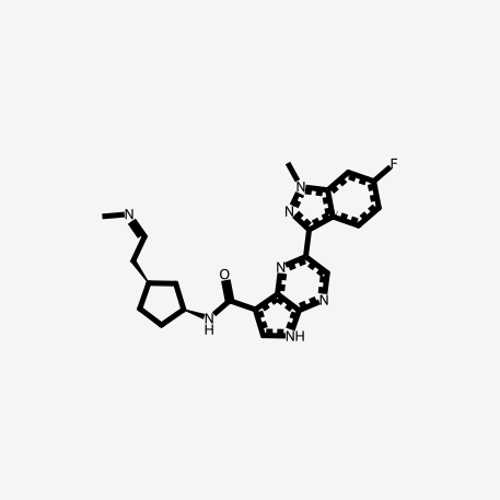 C/N=C\C[C@@H]1CC[C@H](NC(=O)c2c[nH]c3ncc(-c4nn(C)c5cc(F)ccc45)nc23)C1